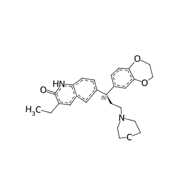 CCc1cc2cc([C@H](CCN3CCCCC3)c3ccc4c(c3)OCCO4)ccc2[nH]c1=O